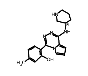 Cc1ccc(-c2nnc(N[C@@H]3CCCNC3)c3cccn23)c(O)c1